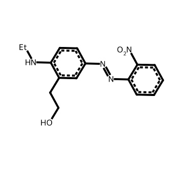 CCNc1ccc(N=Nc2ccccc2[N+](=O)[O-])cc1CCO